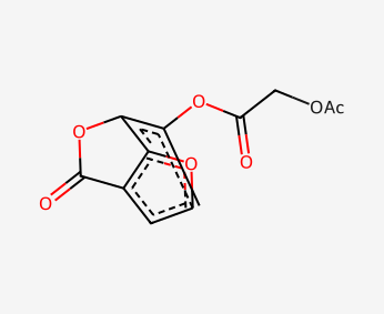 CC(=O)OCC(=O)Oc1c2c3oc1cc3C(=O)O2